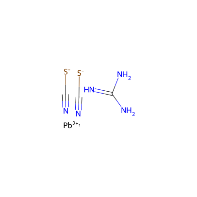 N#C[S-].N#C[S-].N=C(N)N.[Pb+2]